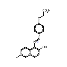 Cc1ccc2c(/N=N/c3ccc(OCC(=O)O)cc3)c(O)ccc2c1